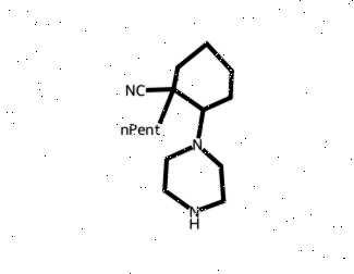 CCCCCC1(C#N)CCCCC1N1CCNCC1